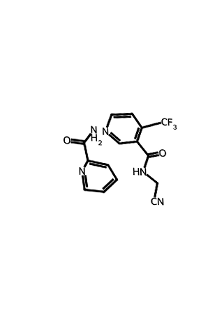 N#CCNC(=O)c1cnccc1C(F)(F)F.NC(=O)c1ccccn1